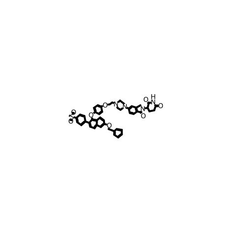 CS(=O)(=O)c1ccc(-c2ccc3cc(OCc4ccccc4)ccc3c2Oc2ccc(OCCN3CCN(c4ccc5c(c4)CN(C4CCC(=O)NC4=O)C5=O)CC3)cc2)cc1